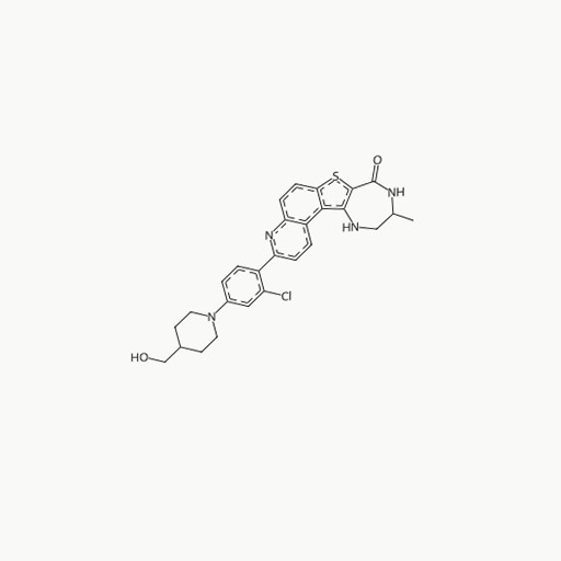 CC1CNc2c(sc3ccc4nc(-c5ccc(N6CCC(CO)CC6)cc5Cl)ccc4c23)C(=O)N1